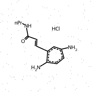 CCCNC(=O)C=Cc1cc(N)ccc1N.Cl